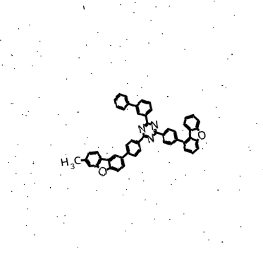 Cc1ccc2c(c1)oc1ccc(-c3ccc(-c4nc(-c5ccc(-c6cccc7oc8ccccc8c67)cc5)nc(-c5cccc(-c6ccccc6)c5)n4)cc3)cc12